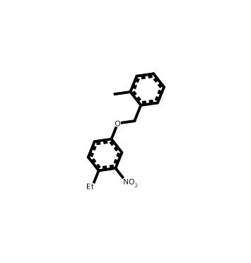 CCc1ccc(OCc2ccccc2C)cc1[N+](=O)[O-]